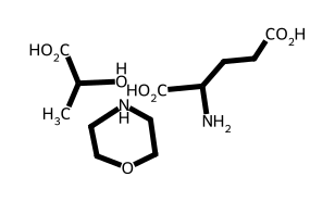 C1COCCN1.CC(O)C(=O)O.NC(CCC(=O)O)C(=O)O